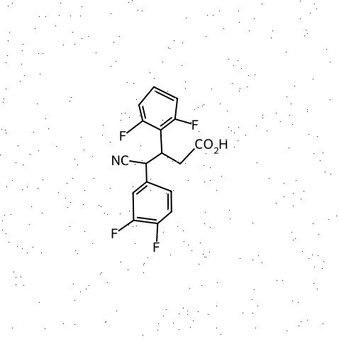 N#CC(c1ccc(F)c(F)c1)C(CC(=O)O)c1c(F)cccc1F